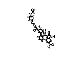 COC(=O)c1ccc2c(c1)NC(=O)/C2=C(\Nc1ccc(C(=O)NOCCN2CCN(CCO)CC2)cc1)c1ccccc1